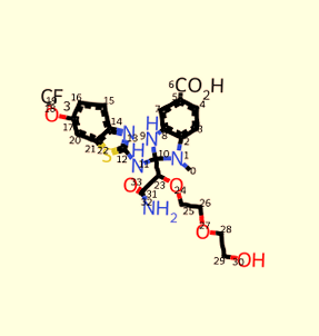 CN1c2ccc(C(=O)O)cc2NC1(Nc1nc2ccc(OC(F)(F)F)cc2s1)C(OCCOCCO)C(N)=O